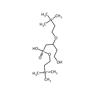 C[N+](C)(C)CCOC(CCO)CP(=O)(O)OCC[N+](C)(C)C